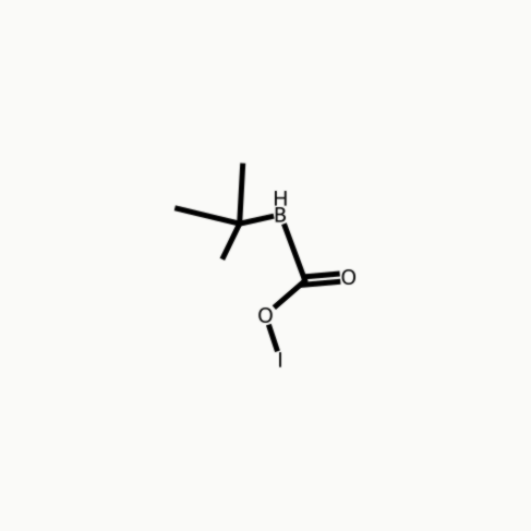 CC(C)(C)BC(=O)OI